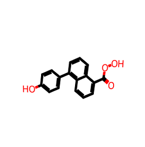 O=C(OO)c1cccc2c(-c3ccc(O)cc3)cccc12